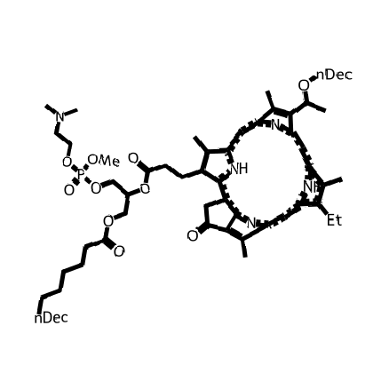 CCCCCCCCCCCCCCCC(=O)OCC(COP(=O)(OC)OCCN(C)C)OC(=O)CCC1c2[nH]c(cc3nc(cc4[nH]c(cc5nc6c2CC(=O)C6=C5C)c(CC)c4C)C(C(C)OCCCCCCCCCC)=C3C)C1C